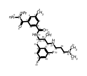 CCCN(CCC)C(=O)c1cc(C)cc(C(=O)N[C@@H](Cc2cc(F)cc(F)c2)[C@H](O)CNCCCN(C)C)c1